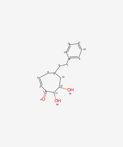 O=C1C=CCC(CCc2ccccc2)CC(O)C1O